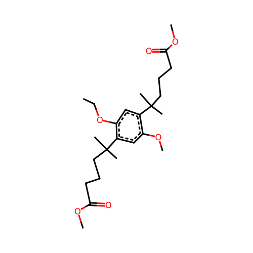 CCOc1cc(C(C)(C)CCCC(=O)OC)c(OC)cc1C(C)(C)CCCC(=O)OC